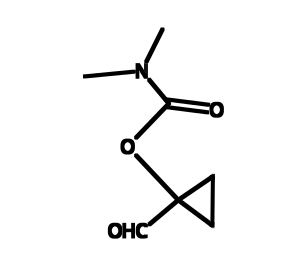 CN(C)C(=O)OC1(C=O)CC1